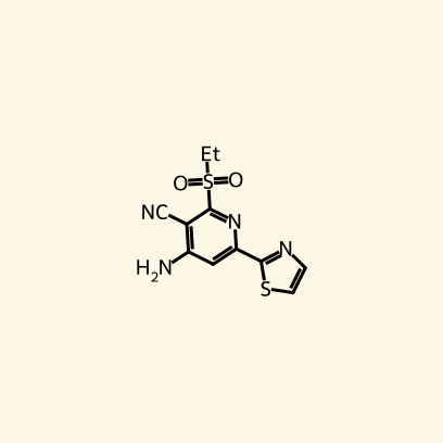 CCS(=O)(=O)c1nc(-c2nccs2)cc(N)c1C#N